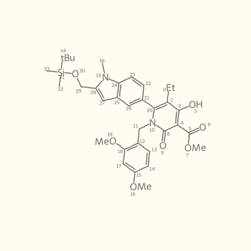 CCc1c(O)c(C(=O)OC)c(=O)n(Cc2ccc(OC)cc2OC)c1-c1ccc2c(c1)cc(CO[Si](C)(C)C(C)(C)C)n2C